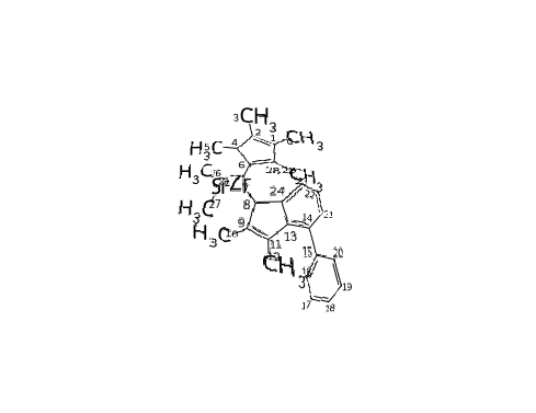 CC1=C(C)C(C)[C]([Zr]([CH]2C(C)=C(C)c3c(-c4ccccc4)cccc32)=[Si](C)C)=C1C